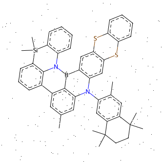 Cc1cc2c3c(c1)N(c1cc4c(cc1C)C(C)(C)CCC4(C)C)c1cc4c(cc1B3N1c3ccccc3[Si](C)(C)c3cccc-2c31)Sc1ccccc1S4